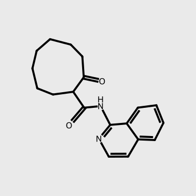 O=C1CCCCCCCC1C(=O)Nc1nccc2ccccc12